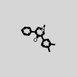 Cc1ccc(-c2cn(C)cc(-c3ccccc3)c2=O)cc1C